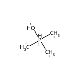 C[PH](C)(C)O